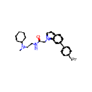 CC(C)c1ccc(-c2ccc3ccn(CC(=O)NCCN(C)C4CCCCC4)c3c2)cc1